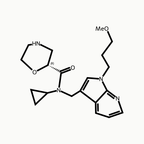 COCCCn1cc(CN(C(=O)[C@H]2CNCCO2)C2CC2)c2cccnc21